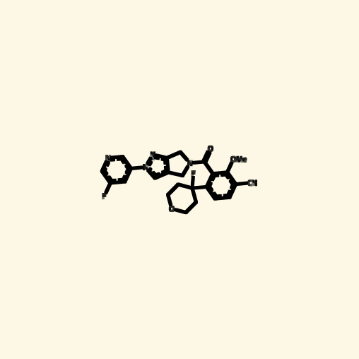 COc1c(C#N)ccc(C2(F)CCOCC2)c1C(=O)N1Cc2cn(-c3cncc(F)c3)nc2C1